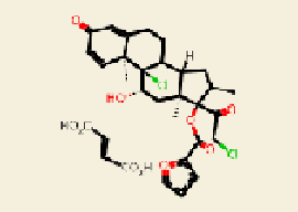 C[C@@H]1C[C@H]2C3CCC4=CC(=O)C=C[C@]4(C)[C@@]3(Cl)[C@@H](O)C[C@]2(C)[C@@]1(OC(=O)c1ccco1)C(=O)CCl.O=C(O)/C=C/C(=O)O